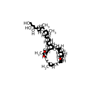 C=C1C[C@@H]2CCC34C[C@@H]5O[C@H]6[C@@H](O3)[C@H]3O[C@H](CC[C@@H]3O[C@H]6[C@@H]5O4)CC(=O)O[C@@H]3[C@@H](C)[C@@H]4O[C@@H]5C[C@]6(C[C@@H]7O[C@]8(C[C@H](C)[C@@H]9O[C@H]([C@@H](O)C[C@@H](O)CO)C[C@@H]9O8)C[C@H](C)[C@@H]7O6)O[C@@H]5C[C@@H]4O[C@H]3C[C@H]3O[C@@H](CCC1O2)C[C@@H](C)C3=C